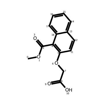 COC(=O)c1c(OCC(=O)O)ccc2ccccc12